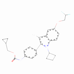 N#Cc1c(-c2ccc(NC(=O)OCC3CC3)cc2)n(C2CCC2)c2ccc(OCC(F)F)cc12